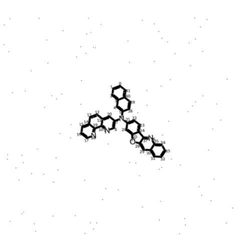 c1ccc2cc(N(c3cnc4c(ccc5cccnc54)c3)c3ccc4c(c3)oc3cc5ccccc5nc34)ccc2c1